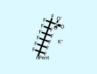 CCCCCC(F)(F)C(F)(F)C(F)(F)C(F)(F)C(F)(F)C(F)(F)S(=O)(=O)[O-].[K+]